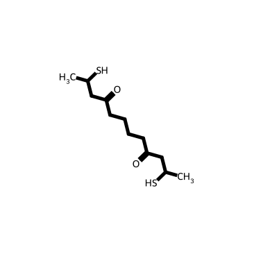 CC(S)CC(=O)CCCCC(=O)CC(C)S